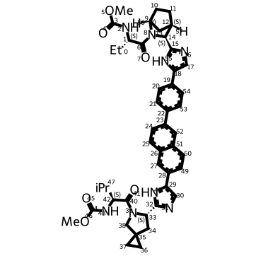 CC[C@H](NC(=O)OC)C(=O)N1[C@@H]2CC[C@@H](C2)[C@H]1c1ncc(-c2ccc(-c3ccc4cc(-c5cnc([C@@H]6CC7(CC7)CN6C(=O)[C@@H](NC(=O)OC)C(C)C)[nH]5)ccc4c3)cc2)[nH]1